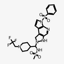 CS(=O)(=O)NC(C1CCN(CC(F)(F)F)CC1)N1Cc2c(cnc3c2ccn3S(=O)(=O)c2ccccc2)N1